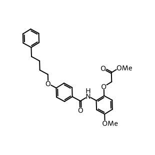 COC(=O)COc1ccc(OC)cc1NC(=O)c1ccc(OCCCCc2ccccc2)cc1